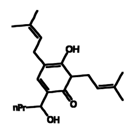 CCCC(O)C1=CC(CC=C(C)C)=C(O)C(CC=C(C)C)C1=O